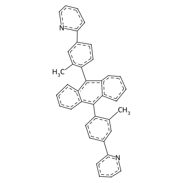 Cc1cc(-c2ccccn2)ccc1-c1c2ccccc2c(-c2ccc(-c3ccccn3)cc2C)c2ccccc12